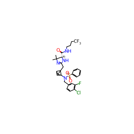 CC1(C)N=C(CC2C3CC2(N(Cc2ccc(Cl)c(F)c2)S(=O)(=O)c2ccccc2)C3)N[C@H]1C(=O)NCCCC(F)(F)F